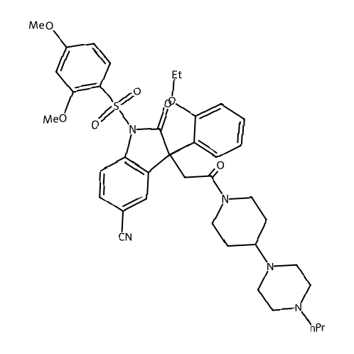 CCCN1CCN(C2CCN(C(=O)CC3(c4ccccc4OCC)C(=O)N(S(=O)(=O)c4ccc(OC)cc4OC)c4ccc(C#N)cc43)CC2)CC1